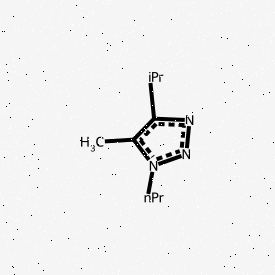 CCCn1nnc(C(C)C)c1C